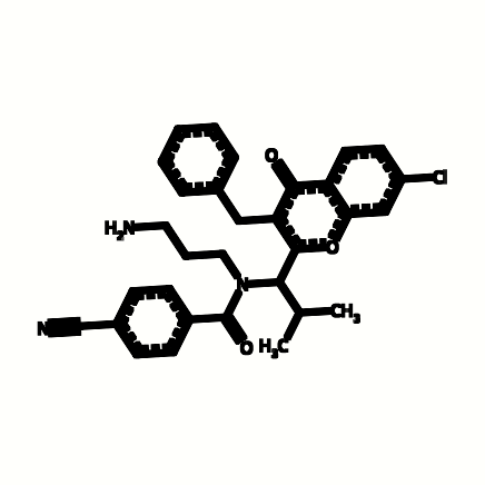 CC(C)C(c1oc2cc(Cl)ccc2c(=O)c1Cc1ccccc1)N(CCCN)C(=O)c1ccc(C#N)cc1